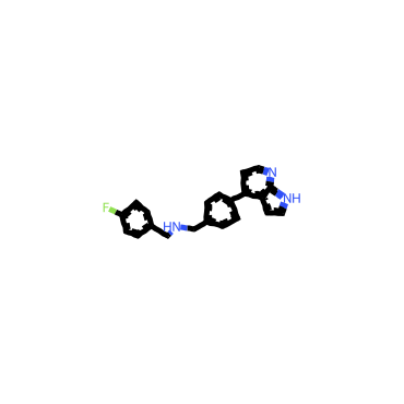 Fc1ccc(CNCc2ccc(-c3ccnc4[nH]ccc34)cc2)cc1